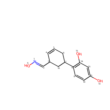 ON=CC1C=CCC(c2ccc(O)cc2O)C1